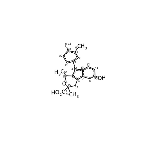 Cc1cc(-n2c3c(c4cc(O)ccc42)CC(C)(C(=O)O)OC3C)ccc1F